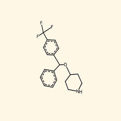 FC(F)(F)c1ccc(C(OC2CCNCC2)c2ccccc2)cc1